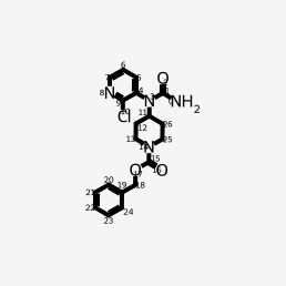 NC(=O)N(c1cccnc1Cl)C1CCN(C(=O)OCc2ccccc2)CC1